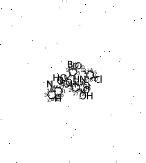 COc1ccc(C(=O)O)cc1Br.Cc1ccc(Cl)cc1NC(=O)c1ccccc1C(=O)O.N#C[C@]12CCCC[C@H]1CC[C@@H](C(=O)O)C2